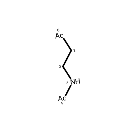 CC(=O)CCNC(C)=O